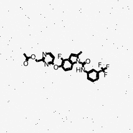 CC(=O)OCc1nccc(Oc2ccc3c(cc(C)n3C(=O)Nc3cccc(C(F)(F)F)c3)c2F)n1